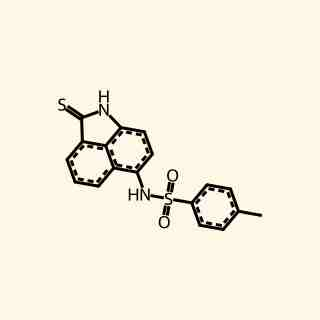 Cc1ccc(S(=O)(=O)Nc2ccc3c4c(cccc24)C(=S)N3)cc1